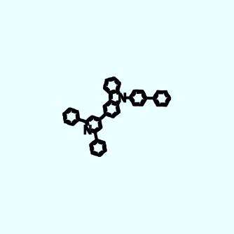 c1ccc(-c2ccc(-n3c4ccccc4c4cc(-c5cc(-c6ccccc6)nc(-c6ccccc6)c5)ccc43)cc2)cc1